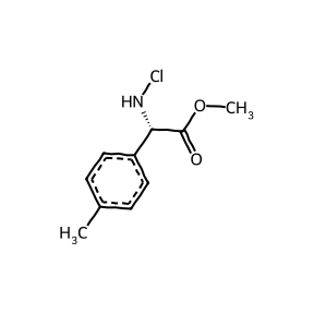 COC(=O)[C@@H](NCl)c1ccc(C)cc1